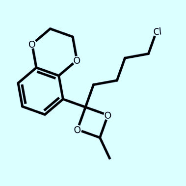 CC1OC(CCCCCl)(c2cccc3c2OCCO3)O1